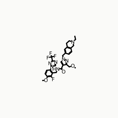 CCN1CCc2cc(Cn3cc(C(=O)NCc4c(-n5cnc(C(F)(F)F)n5)ccc(OC)c4F)c(COC)n3)ccc2C1